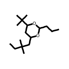 CCCC1OC(CC(C)(C)CC)CC(C(C)(C)C)O1